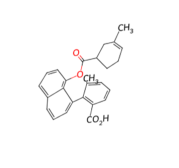 CC1=CCCC(C(=O)Oc2cccc3cccc(-c4c(C)cccc4C(=O)O)c23)C1